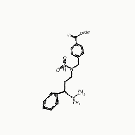 COC(=O)c1ccc(CN(CCC(c2ccccc2)N(C)C)[SH](=O)=O)cc1